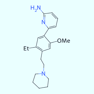 CCc1cc(-c2cccc(N)n2)c(OC)cc1CCN1CCCCC1